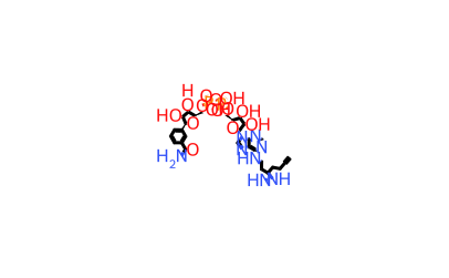 C#CCCC1(CCNc2ncnc3c2ncn3[C@H]2O[C@@H](COP(=O)(O)OP(=O)(O)OC[C@H]3O[C@@H](c4cccc(C(N)=O)c4)C(O)C3O)C(O)C2O)NN1